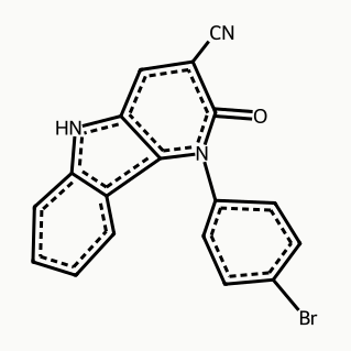 N#Cc1cc2[nH]c3ccccc3c2n(-c2ccc(Br)cc2)c1=O